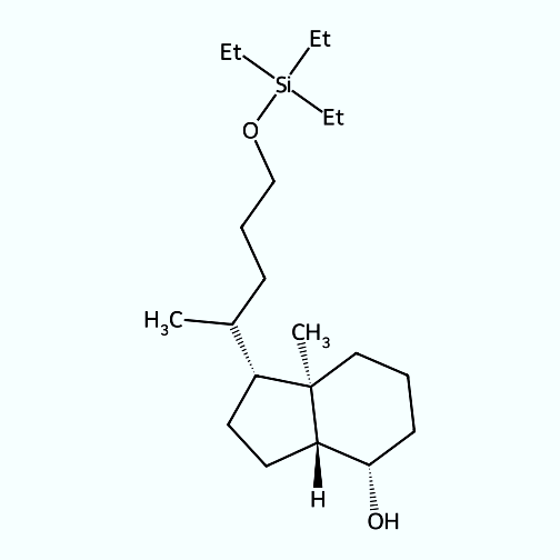 CC[Si](CC)(CC)OCCCC(C)[C@H]1CC[C@H]2[C@@H](O)CCC[C@]12C